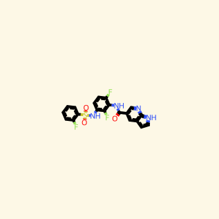 O=C(Nc1c(F)ccc(NS(=O)(=O)c2ccccc2F)c1F)c1cnc2[nH]ccc2c1